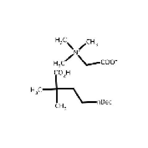 CCCCCCCCCCCCC(C)(C)C(=O)O.C[N+](C)(C)CC(=O)[O-]